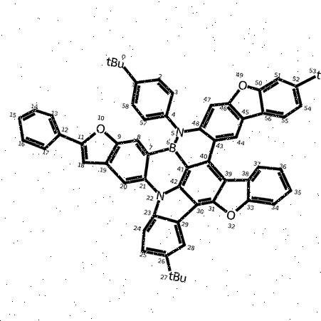 CC(C)(C)c1ccc(N2B3c4cc5oc(-c6ccccc6)cc5cc4-n4c5ccc(C(C)(C)C)cc5c5c6oc7ccccc7c6c(c3c54)-c3cc4c(cc32)oc2cc(C(C)(C)C)ccc24)cc1